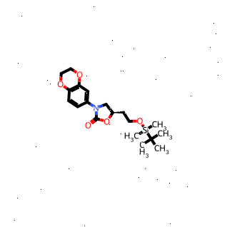 CC(C)(C)[Si](C)(C)OCC[C@@H]1CN(c2ccc3c(c2)OCCO3)C(=O)O1